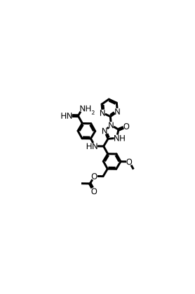 COc1cc(COC(C)=O)cc(C(Nc2ccc(C(=N)N)cc2)c2nn(-c3ncccn3)c(=O)[nH]2)c1